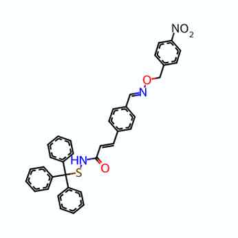 O=C(C=Cc1ccc(C=NOCc2ccc([N+](=O)[O-])cc2)cc1)NSC(c1ccccc1)(c1ccccc1)c1ccccc1